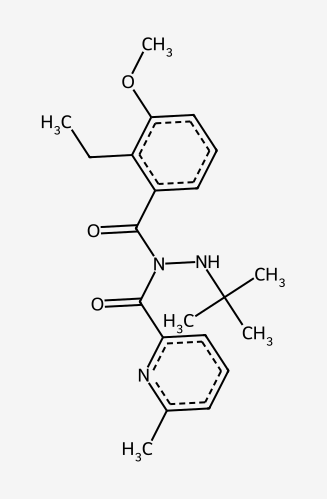 CCc1c(OC)cccc1C(=O)N(NC(C)(C)C)C(=O)c1cccc(C)n1